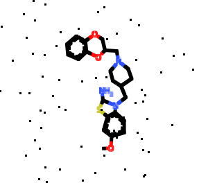 COc1ccc2c(c1)SC(N)N2CC1CCN(CC2COc3ccccc3O2)CC1